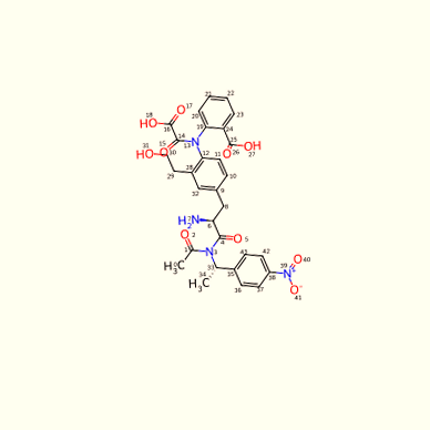 CC(=O)N(C(=O)[C@@H](N)Cc1ccc(N(C(=O)C(=O)O)c2ccccc2C(=O)O)c(CCO)c1)[C@@H](C)c1ccc([N+](=O)[O-])cc1